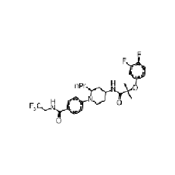 CCCC1CC(NC(=O)C(C)(C)Oc2ccc(F)c(F)c2)CCN1c1ccc(C(=O)NCC(F)(F)F)cc1